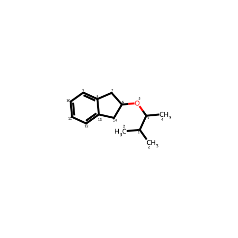 CC(C)C(C)OC1Cc2ccccc2C1